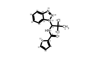 CC(Cl)(Cl)C(NC(=O)c1cccs1)n1nnc2ccccc21